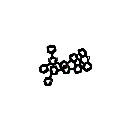 c1ccc(-c2cc(-c3cccc(-c4cccc5c4-c4c(-c6ccc(-c7cccc(-c8ccccn8)c7)cc6)cccc4C54c5ccccc5Oc5ccccc54)c3)nc(-c3ccccc3)n2)cc1